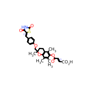 Cc1c(C)c2c(c(C)c1OC(=O)/C=C/C(=O)O)CCC(C)(COc1ccc(/C=C3\SC(=O)NC3=O)cc1)O2